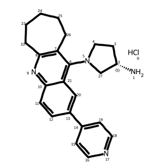 Cl.N[C@H]1CCN(c2c3c(nc4ccc(-c5ccncc5)cc24)CCCCC3)C1